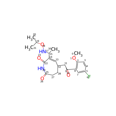 COc1ccc(F)cc1C(=O)CC1/C=C(/C(C)NOC(C)C)C(=O)NC(=O)CC1